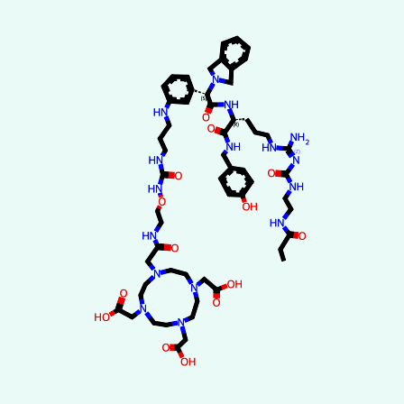 CCC(=O)NCCNC(=O)/N=C(/N)NCCC[C@@H](NC(=O)[C@H](c1cccc(NCCCNC(=O)NOCCNC(=O)CN2CCN(CC(=O)O)CCN(CC(=O)O)CCN(CC(=O)O)CC2)c1)N1Cc2ccccc2C1)C(=O)NCc1ccc(O)cc1